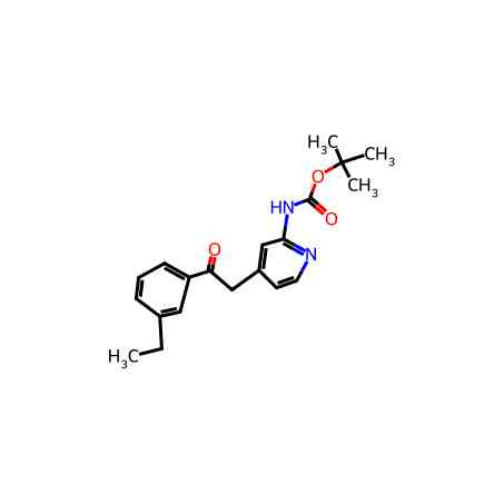 CCc1cccc(C(=O)Cc2ccnc(NC(=O)OC(C)(C)C)c2)c1